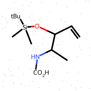 C=CC(O[Si](C)(C)C(C)(C)C)C(C)NC(=O)O